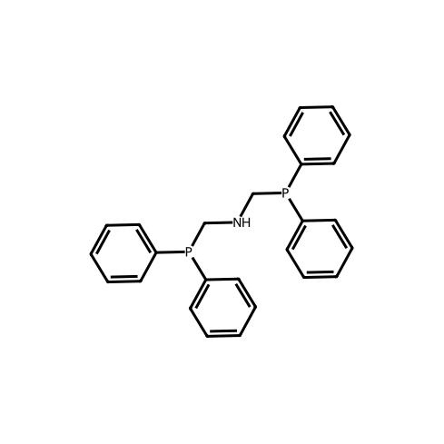 c1ccc(P(CNCP(c2ccccc2)c2ccccc2)c2ccccc2)cc1